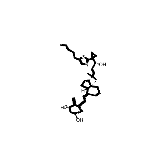 C=C1/C(=C\C=C2/CCC[C@]3(C)[C@@H](C(C)(C)/C=C/[C@@H](O)C4(c5ncc(CCCCC)s5)CC4)CC[C@@H]23)C[C@@H](O)C[C@@H]1O